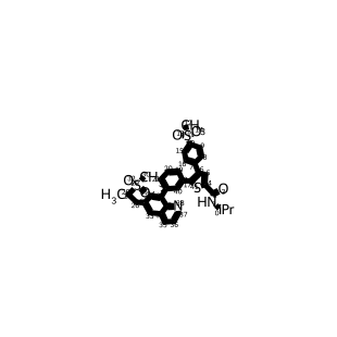 CC(C)NC(=O)c1cc(-c2ccc(S(C)(=O)=O)cc2)c(-c2cccc(-c3cc(CC(C)S(C)(=O)=O)cc4cccnc34)c2)s1